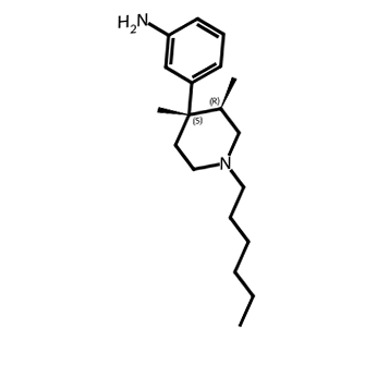 CCCCCCN1CC[C@](C)(c2cccc(N)c2)[C@@H](C)C1